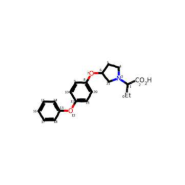 CCC(C(=O)O)N1CCC(Oc2ccc(Oc3ccccc3)cc2)C1